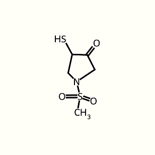 CS(=O)(=O)N1CC(=O)C(S)C1